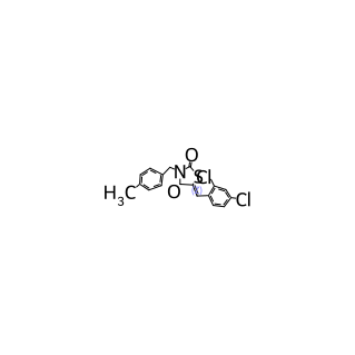 Cc1ccc(CN2C(=O)S/C(=C\c3ccc(Cl)cc3Cl)C2=O)cc1